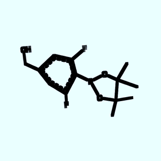 CC1(C)OB(c2c(F)cc(CO)cc2F)OC1(C)C